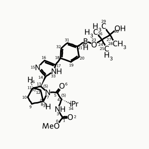 COC(=O)N[C@H](C(=O)N1[C@H]2CC[C@H](C2)[C@H]1c1ncc(-c2ccc(BOC(C)(C)C(C)(C)O)cc2)[nH]1)C(C)C